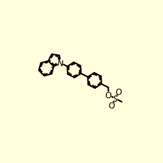 CS(=O)(=O)OCc1ccc(-c2ccc(-n3ccc4ccccc43)cc2)cc1